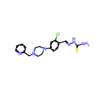 NC(=S)N/N=C/c1ccc(N2CCN(Cc3ccccn3)CC2)cc1Cl